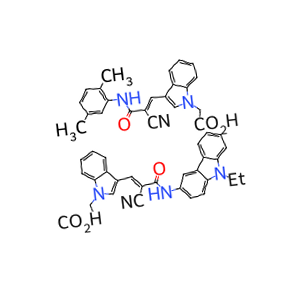 CCn1c2ccccc2c2cc(NC(=O)/C(C#N)=C/c3cn(CC(=O)O)c4ccccc34)ccc21.Cc1ccc(C)c(NC(=O)/C(C#N)=C/c2cn(CC(=O)O)c3ccccc23)c1